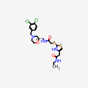 CCNC(=O)CC1=CSC(SCC(=O)NC[C@H]2CN(Cc3ccc(Cl)c(Cl)c3)CCO2)N1